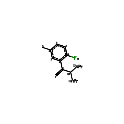 C=C(c1cc(C)ccc1F)C(CCC)CCC